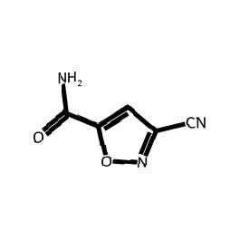 N#Cc1cc(C(N)=O)on1